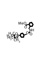 COC(=O)c1ccccc1CNC(=O)OCc1ccc(B2OC(C)(C)C(C)(C)O2)cc1